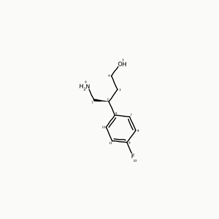 NC[C@@H](CCO)c1ccc(F)cc1